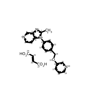 Cc1nc2cnccc2n1-c1ccc(COc2cccnc2)cc1.O=C(O)C=CC(=O)O